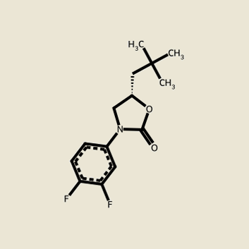 CC(C)(C)C[C@H]1CN(c2ccc(F)c(F)c2)C(=O)O1